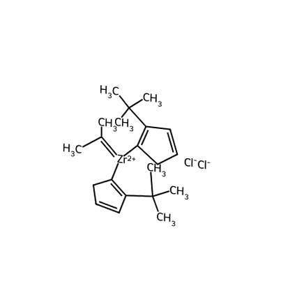 C[C](C)=[Zr+2]([C]1=C(C(C)(C)C)C=CC1)[C]1=C(C(C)(C)C)C=CC1.[Cl-].[Cl-]